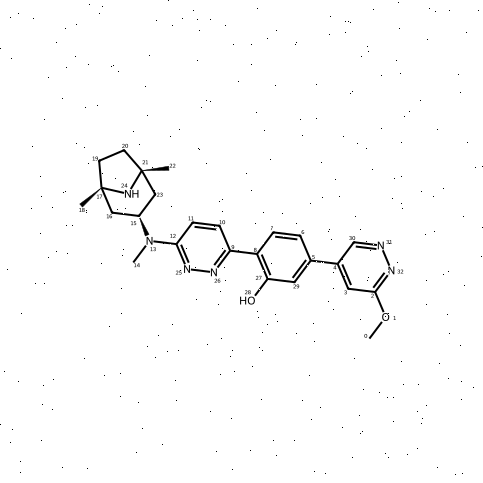 COc1cc(-c2ccc(-c3ccc(N(C)[C@H]4C[C@]5(C)CC[C@](C)(C4)N5)nn3)c(O)c2)cnn1